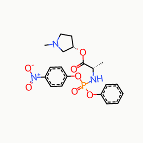 C[C@H](NP(=O)(Oc1ccccc1)Oc1ccc([N+](=O)[O-])cc1)C(=O)O[C@H]1CCN(C)C1